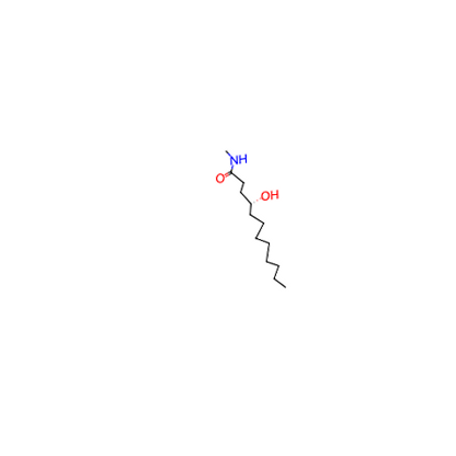 CCCCCCCC[C@@H](O)CCC(=O)NC